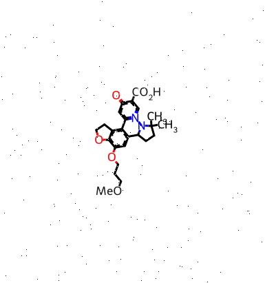 COCCCOc1cc2c(c3c1OCC3)-c1cc(=O)c(C(=O)O)cn1N1C2CCC1(C)C